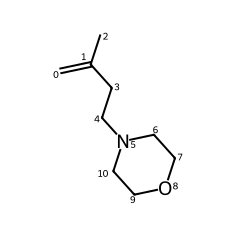 C=C(C)CCN1CCOCC1